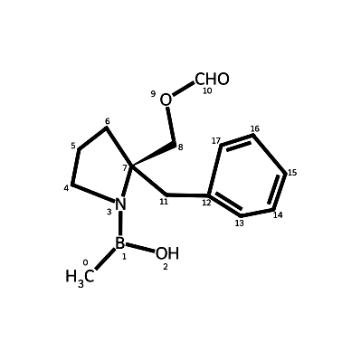 CB(O)N1CCC[C@]1(COC=O)Cc1ccccc1